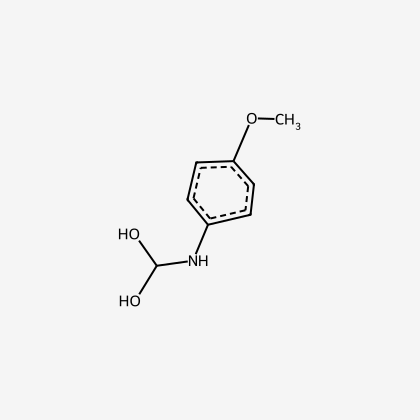 COc1ccc(NC(O)O)cc1